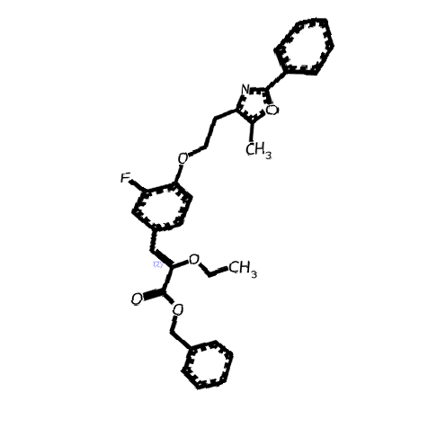 CCO/C(=C\c1ccc(OCCc2nc(-c3ccccc3)oc2C)c(F)c1)C(=O)OCc1ccccc1